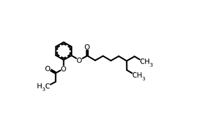 CCC(=O)Oc1ccccc1OC(=O)CCCCC(CC)CC